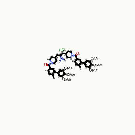 COc1cc(-c2cc(C(=O)N3CCC(CC(CC4CCN(C(=O)c5ccc(C)c(-c6cc(OC)c(OC)c(OC)c6)c5)CC4)N(C)C)CC3)ccc2C)cc(OC)c1OC.Cl